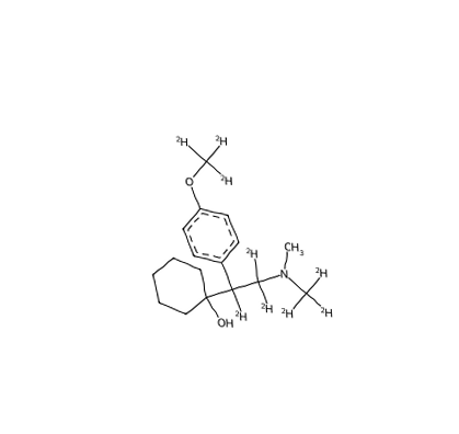 [2H]C([2H])([2H])Oc1ccc(C([2H])(C2(O)CCCCC2)C([2H])([2H])N(C)C([2H])([2H])[2H])cc1